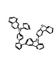 c1ccc(N(c2ccc(-c3ccccc3-c3ccc4c(c3)c3ccccc3n4-c3ccc4sc5ccccc5c4c3)cc2)c2ccc3ccccc3c2)cc1